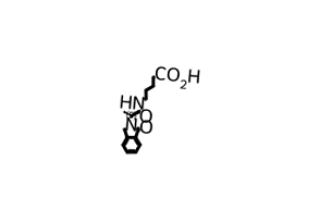 C[C@@H](C(=O)NCCCCC(=O)O)N1Cc2ccccc2C1=O